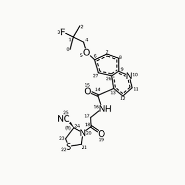 CC(C)(F)COc1ccc2nccc(C(=O)NCC(=O)N3CSC[C@H]3C#N)c2c1